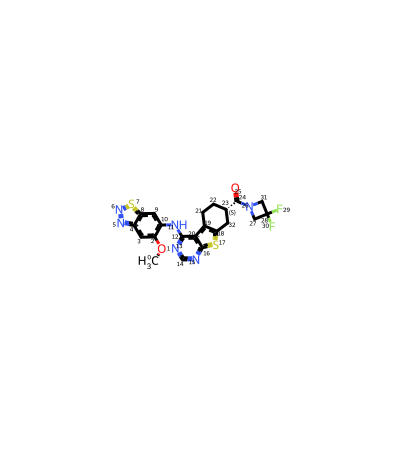 COc1cc2nnsc2cc1Nc1ncnc2sc3c(c12)CC[C@H](C(=O)N1CC(F)(F)C1)C3